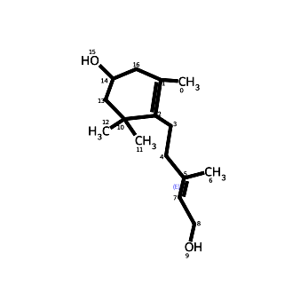 CC1=C(CC/C(C)=C/CO)C(C)(C)CC(O)C1